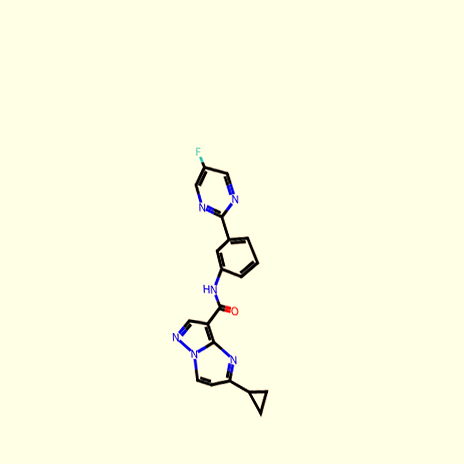 O=C(Nc1cccc(-c2ncc(F)cn2)c1)c1cnn2ccc(C3CC3)nc12